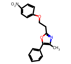 Cc1nc(CCOc2ccc([N+](=O)[O-])cc2)oc1-c1ccccc1